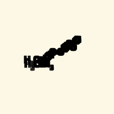 CC(C)(C)OC(=O)N1CCN(OCCOC2CCN(OC(=O)c3ccccc3)CC2)CC1